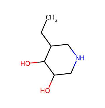 CCC1CNCC(O)C1O